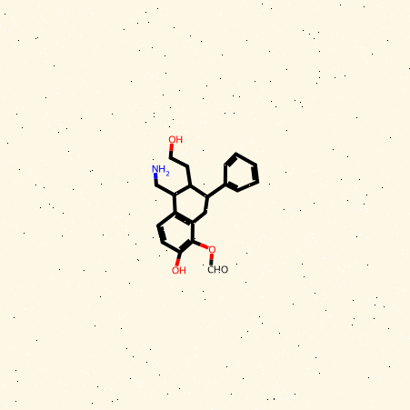 NCC1c2ccc(O)c(OC=O)c2CC(c2ccccc2)C1CCO